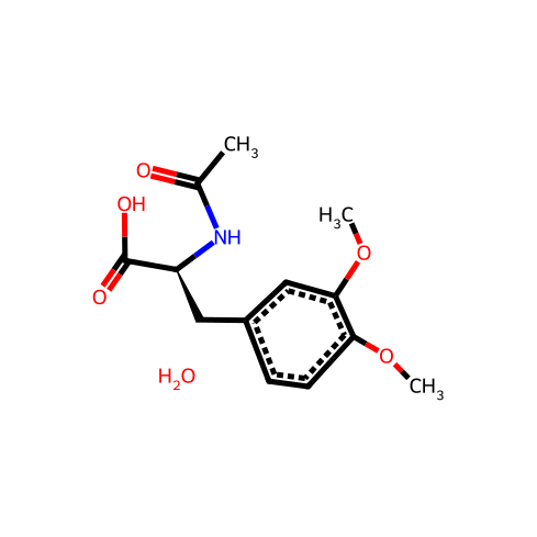 COc1ccc(C[C@H](NC(C)=O)C(=O)O)cc1OC.O